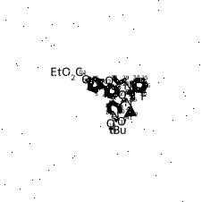 CCOC(=O)COc1ccc(-c2cccc([C@H]3CCN(C(=O)OC(C)(C)C)C[C@@H]3C(=O)N(Cc3cn(CCCOC)c4cccc(F)c34)C3CC3)c2)cc1